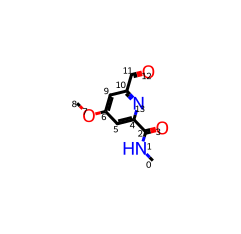 CNC(=O)c1cc(OC)cc(C=O)n1